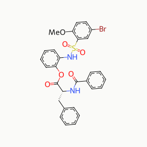 COc1ccc(Br)cc1S(=O)(=O)Nc1ccccc1OC(=O)[C@@H](Cc1ccccc1)NC(=O)c1ccccc1